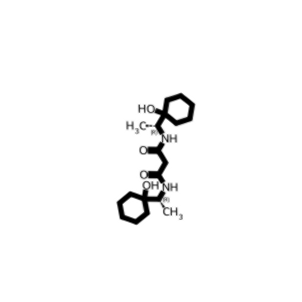 C[C@@H](NC(=O)CC(=O)N[C@H](C)C1(O)CCCCC1)C1(O)CCCCC1